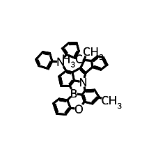 Cc1cc2c3c(c1)-n1c4c(c5c(N(c6ccccc6)c6ccccc6)ccc(c51)B3c1ccccc1O2)C(C)(C)c1ccccc1-4